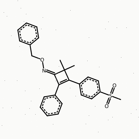 CC1(C)C(c2ccc(S(C)(=O)=O)cc2)=C(c2ccccc2)/C1=N/OCc1ccccc1